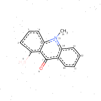 Bc1cccc2c1c(=O)c1ccccc1n2C